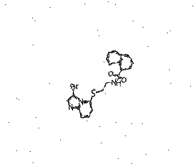 O=S(=O)(NCCSc1cccc2ncc(Br)n12)c1cccc2ccccc12